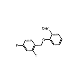 O=Cc1ccccc1OCc1ccc(F)cc1F